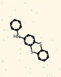 c1ccc(Nc2ccc3c(c2)Sc2ccccc2S3)cc1